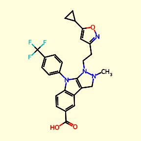 CN1Cc2c(n(-c3ccc(C(F)(F)F)cc3)c3ccc(C(=O)O)cc23)N1CCc1cc(C2CC2)on1